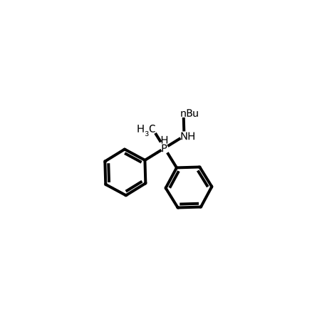 CCCCN[PH](C)(c1ccccc1)c1ccccc1